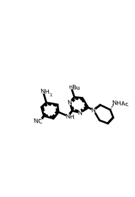 CCCCc1cc(N2CCC[C@@H](NC(C)=O)C2)nc(Nc2cc(N)cc(C#N)c2)n1